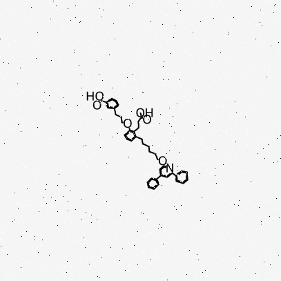 O=C(O)CCc1c(CCCCCCOc2cc(-c3ccccc3)cc(-c3ccccc3)n2)cccc1OCCCc1cccc(C(=O)O)c1